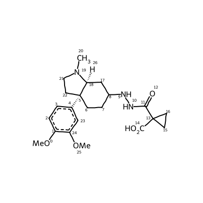 COc1ccc([C@@]23CCC(NNC(=O)C4(C(=O)O)CC4)C[C@@H]2N(C)CC3)cc1OC